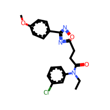 CCN(C(=O)CCc1nc(-c2ccc(OC)cc2)no1)c1cccc(Cl)c1